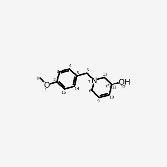 COc1ccc(CN2CC=C[C@H](O)C2)cc1